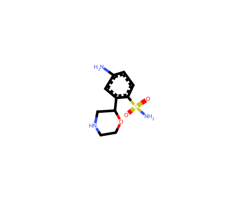 Nc1ccc(S(N)(=O)=O)c(C2CNCCO2)c1